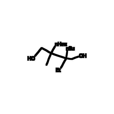 CCCCCCC(C)(CO)C(CC)(CO)CCCC